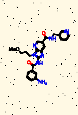 COCCCn1c(NC(=O)c2cccc(N)c2)nc2cc(C(=O)NCc3cccnc3)cnc21